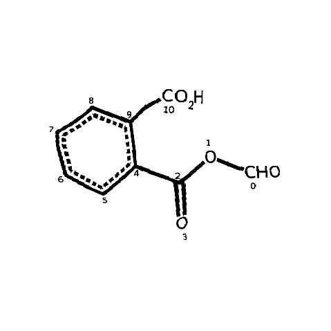 O=COC(=O)c1ccccc1C(=O)O